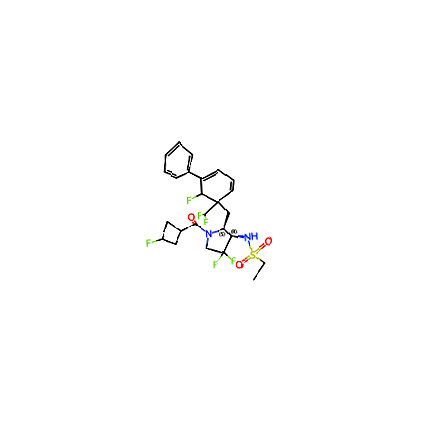 CCS(=O)(=O)N[C@@H]1[C@H](CC2(C(F)F)C=CC=C(c3ccccc3)C2F)N(C(=O)C2CC(F)C2)CC1(F)F